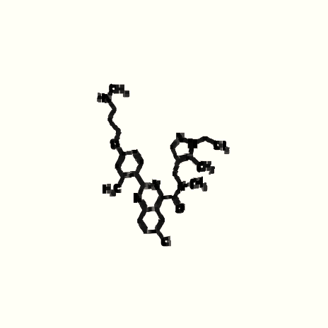 CCn1ncc(CN(C)C(=O)c2nc(-c3ccc(OCCCNC)cc3C)nc3ccc(Cl)cc23)c1C